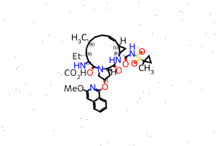 CC[C@@H]1C[C@H](C)CCC=C[C@@H]2C[C@@]2(C(=O)NS(=O)(=O)C2(C)CC2)NC(=O)[C@@H]2C[C@@H](Oc3nc(OC)cc4ccccc34)CN2C(=O)[C@H]1NC(=O)O